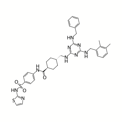 Cc1cccc(CNc2nc(NCc3ccccc3)nc(NC[C@H]3CC[C@H](C(=O)Nc4ccc(S(=O)(=O)Nc5nccs5)cc4)CC3)n2)c1C